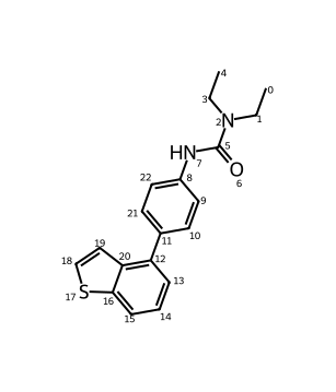 CCN(CC)C(=O)Nc1ccc(-c2cccc3sccc23)cc1